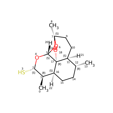 C[C@H]1[C@H](S)O[C@@H]2O[C@]3(C)CC[C@H]4[C@H](C)CC[C@@H]1[C@@]24OO3